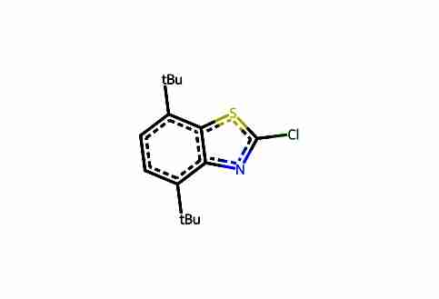 CC(C)(C)c1ccc(C(C)(C)C)c2sc(Cl)nc12